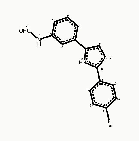 O=CNc1cccc(-c2cnc(-c3ccc(F)cc3)[nH]2)c1